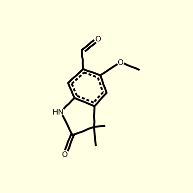 COc1cc2c(cc1C=O)NC(=O)C2(C)C